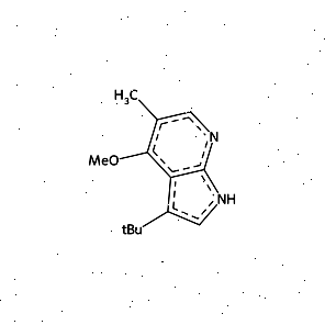 COc1c(C)cnc2[nH]cc(C(C)(C)C)c12